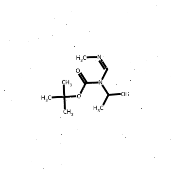 C/N=C\N(C(=O)OC(C)(C)C)C(C)O